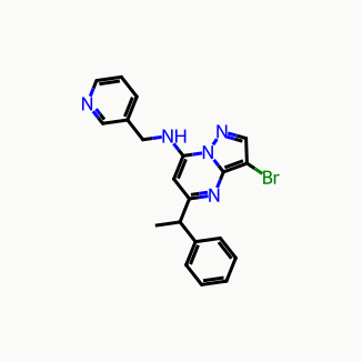 CC(c1ccccc1)c1cc(NCc2cccnc2)n2ncc(Br)c2n1